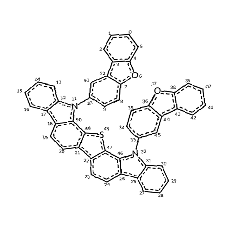 c1ccc2c(c1)oc1ccc(-n3c4ccccc4c4ccc5c6ccc7c8ccccc8n(-c8ccc9oc%10ccccc%10c9c8)c7c6sc5c43)cc12